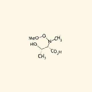 COON(C)[C@H](C(=O)O)[C@H](C)O